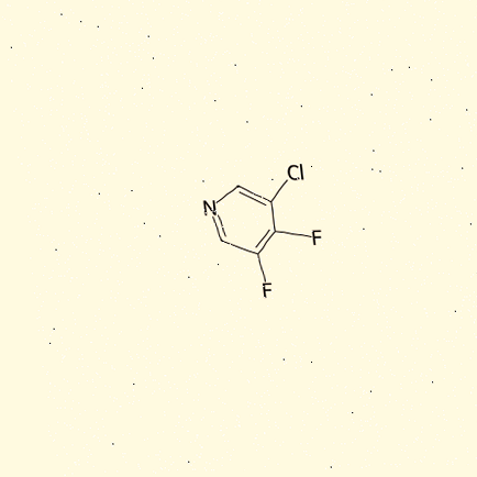 Fc1cncc(Cl)c1F